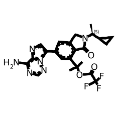 C[C@@H](C1CC1)N1Cc2cc(-c3cnc4c(N)ncnn34)cc(C(C)(C)OC(=O)C(F)(F)F)c2C1=O